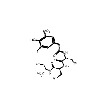 CC(C)C[C@H](NC(=O)[C@H](CC(C)C)NC(=O)[C@H](CC(C)C)NC(=O)Cc1cc(I)c(O)c([N+](=O)[O-])c1)C(=O)O